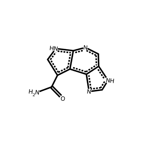 NC(=O)c1c[nH]c2ncc3[nH]cnc3c12